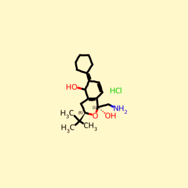 CC(C)(C)[C@H]1CC2=C(C=CC(=C3CCCCC3)C2O)[C@@](O)(CN)O1.Cl